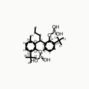 CCCC(c1c(C)ccc(C(C)(C)C)c1OP(O)O)c1c(C)ccc(C(C)(C)C)c1OP(O)O